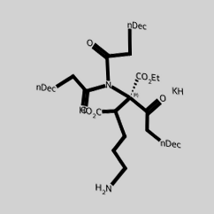 CCCCCCCCCCCC(=O)N(C(=O)CCCCCCCCCCC)[C@](C(=O)CCCCCCCCCCC)(C(=O)OCC)C(CCCN)C(=O)O.[KH]